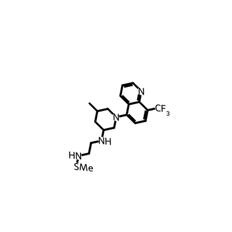 CSNCCNC1CC(C)CN(c2ccc(C(F)(F)F)c3ncccc23)C1